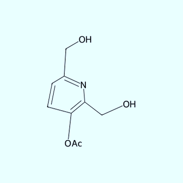 CC(=O)Oc1ccc(CO)nc1CO